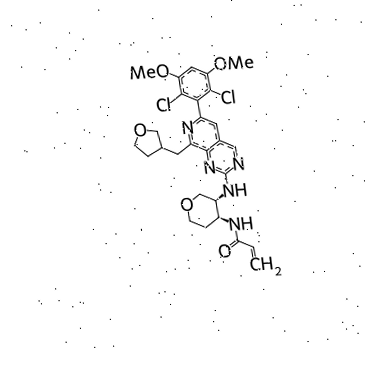 C=CC(=O)N[C@H]1CCOC[C@H]1Nc1ncc2cc(-c3c(Cl)c(OC)cc(OC)c3Cl)nc(CC3CCOC3)c2n1